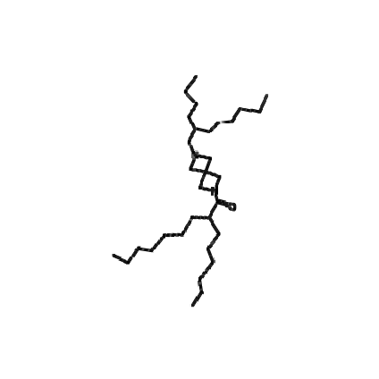 CCCCCCCC(CCCCCC)C(=O)N1CC2(CN(CC(CCCC)CCCCCC)C2)C1